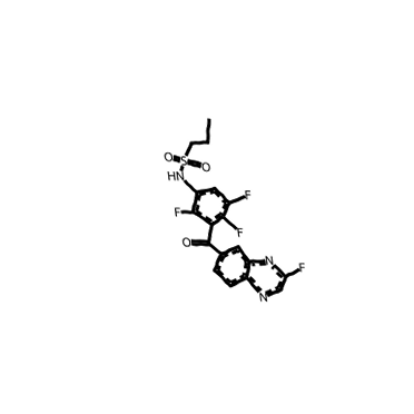 CCCS(=O)(=O)Nc1cc(F)c(F)c(C(=O)c2ccc3ncc(F)nc3c2)c1F